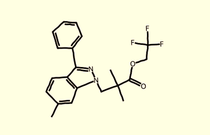 Cc1ccc2c(-c3ccccc3)nn(CC(C)(C)C(=O)OCC(F)(F)F)c2c1